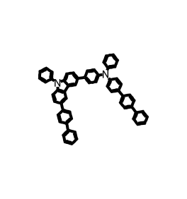 c1ccc(-c2ccc(-c3ccc(N(c4ccccc4)c4ccc(-c5ccc6c(c5)c5cc(-c7ccc(-c8ccccc8)cc7)ccc5n6-c5ccccc5)cc4)cc3)cc2)cc1